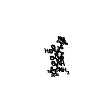 Cn1nncc1SCC1=C(C(=O)O)N2C(=O)C(NC(=O)C(N)c3cccs3)[C@H]2SC1